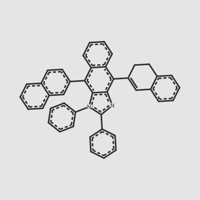 C1=C(c2c3ccccc3c(-c3ccc4ccccc4c3)c3c2nc(-c2ccccc2)n3-c2ccccc2)CCc2ccccc21